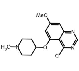 COc1cc(OC2CCN(C)CC2)c2c(Cl)ncnc2c1